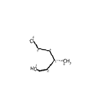 C[C@H](CO)CCCl